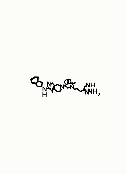 CC(=O)N(CCC/C(C=N)=N/N)CC(=O)N1CCc2nc(NC3Cc4ccccc4C3)ncc2C1